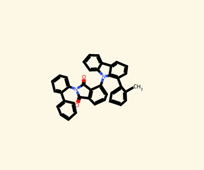 Cc1ccccc1-c1cccc2c3ccccc3n(-c3cccc4c3C(=O)N(c3ccccc3-c3ccccc3)C4=O)c12